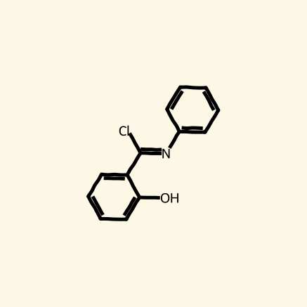 Oc1ccccc1C(Cl)=Nc1ccccc1